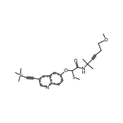 COCCC#CC(C)(C)NC(=O)C(Oc1ccc2ncc(C#C[Si](C)(C)C)cc2c1)SC